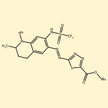 CCCN1c2cc(NS(=O)(=O)C(F)(F)F)c(N=Nc3nnc(C(=O)OC(C)CC)s3)cc2CCC1C